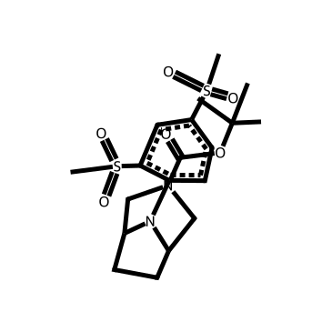 CC(C)(C)OC(=O)N1CC2CCC(C1)N2c1ccc(S(C)(=O)=O)cc1S(C)(=O)=O